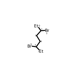 CCC(Br)CCC(Br)CC